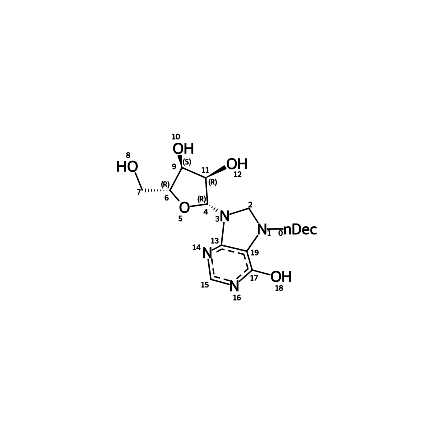 CCCCCCCCCCN1CN([C@@H]2O[C@H](CO)[C@@H](O)[C@H]2O)c2ncnc(O)c21